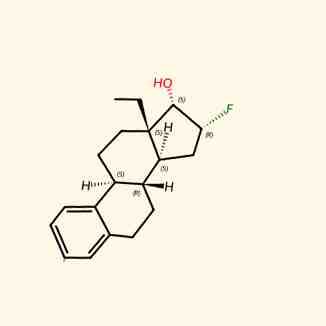 CC[C@]12CC[C@@H]3c4cc[c]cc4CC[C@H]3[C@@H]1C[C@@H](F)[C@H]2O